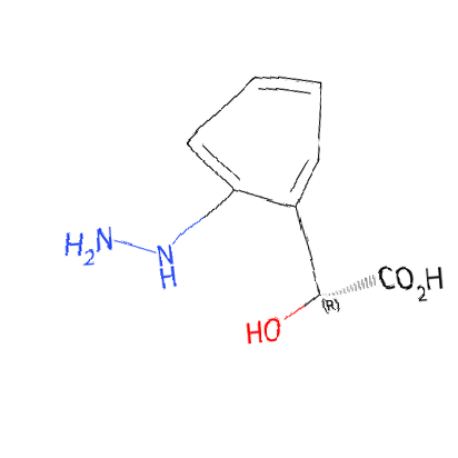 NNc1ccccc1[C@@H](O)C(=O)O